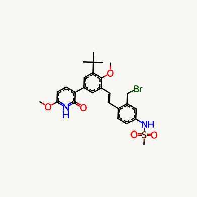 COc1ccc(-c2cc(C=Cc3ccc(NS(C)(=O)=O)cc3CBr)c(OC)c(C(C)(C)C)c2)c(=O)[nH]1